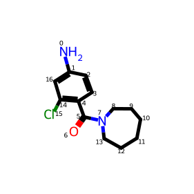 Nc1ccc(C(=O)N2CCCCCC2)c(Cl)c1